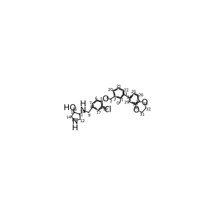 Cc1c(COc2ccc(CN[C@@H]3CNC[C@H]3O)cc2Cl)cccc1-c1ccc2c(c1)OCCO2